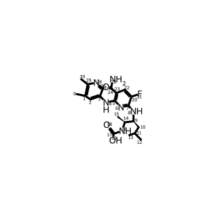 Cc1cc(Nc2nc(N[C@@H](CC(C)C)[C@H](C)NC(=O)O)c(F)cc2C(N)=O)cnc1C